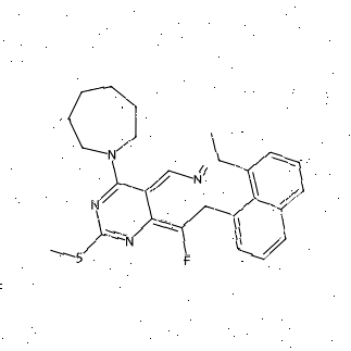 C=N/C=c1/c(N2CCCCCC2)nc(SC)n/c1=C(\F)Cc1cccc2cccc(CC)c12